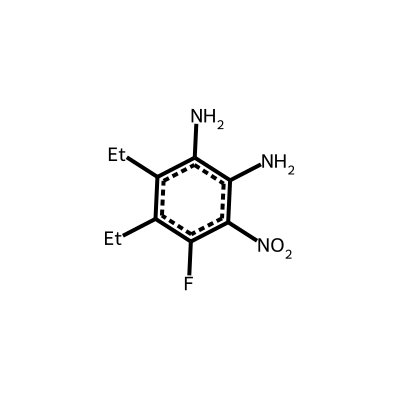 CCc1c(N)c(N)c([N+](=O)[O-])c(F)c1CC